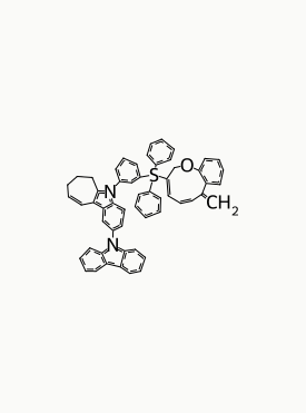 C=C1/C=C\C=C(\S(c2ccccc2)(c2ccccc2)c2cccc(-n3c4c(c5cc(-n6c7ccccc7c7ccccc76)ccc53)C=CCCC4)c2)COc2ccccc21